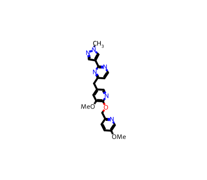 COc1ccc(COc2ncc(Cc3ccnc(-c4cnn(C)c4)n3)cc2OC)nc1